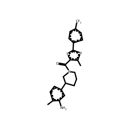 Cc1ccc(C2CCCN(C(=O)c3sc(-c4ccc(C(F)(F)F)cc4)nc3C)C2)cc1N